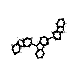 c1ccc2c(c1)-c1cc(-c3ccc4sc5ccccc5c4c3)ccc1C2c1ccc2sc3ccccc3c2c1